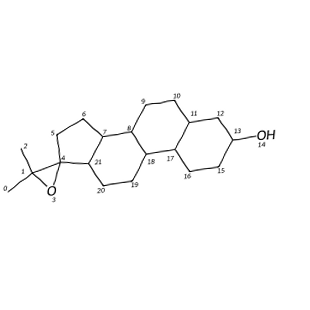 CC1(C)OC12CCC1C3CCC4CC(O)CCC4C3CCC12